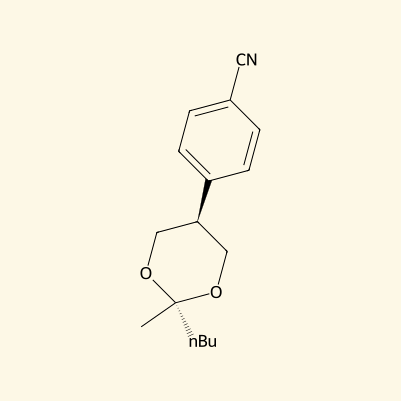 CCCC[C@]1(C)OC[C@@H](c2ccc(C#N)cc2)CO1